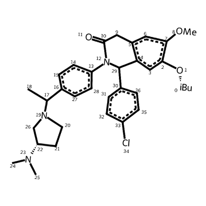 CC[C@@H](C)Oc1cc2c(cc1OC)CC(=O)N(c1ccc(C(C)N3CC[C@H](N(C)C)C3)cc1)C2c1ccc(Cl)cc1